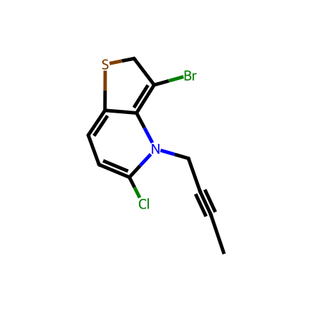 CC#CCN1C(Cl)=CC=C2SCC(Br)=C21